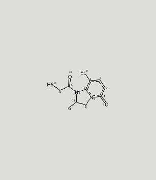 CCc1ccc(=O)n2c1N(C(=O)CS)C(C)C2